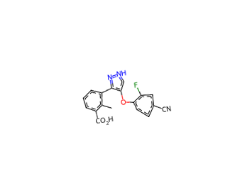 Cc1c(C(=O)O)cccc1-c1n[nH]cc1Oc1ccc(C#N)cc1F